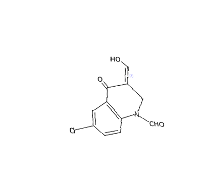 O=CN1C/C(=C/O)C(=O)c2cc(Cl)ccc21